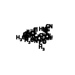 CC1c2nn(C)c(-c3cc(Cl)cc(C4(NS(C)(=O)=O)CC4)c3)c2CCN1C(=O)c1cc(F)cc(-c2c[nH]c(C#N)c2)c1Cl